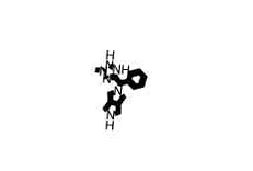 CN1N=C(C(c2ccccc2)N2CC3CNCC3C2)NN1